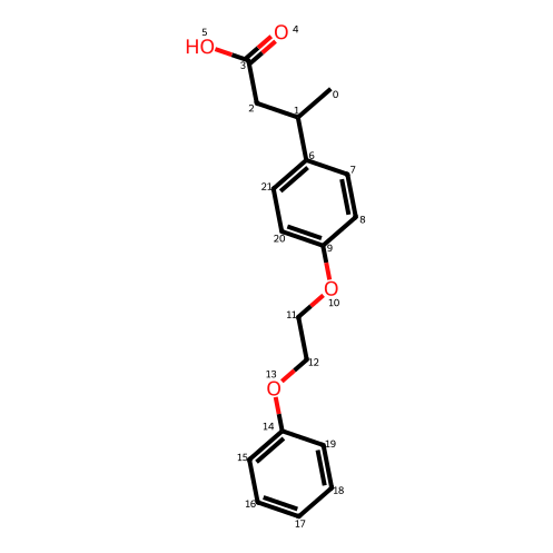 CC(CC(=O)O)c1ccc(OCCOc2ccccc2)cc1